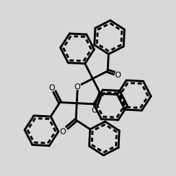 O=C(c1ccccc1)C(OC(C(=O)c1ccccc1)(C(=O)c1ccccc1)c1ccccc1)(C(=O)c1ccccc1)c1ccccc1